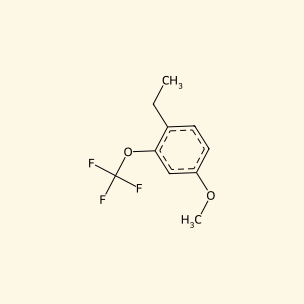 CCc1ccc(OC)cc1OC(F)(F)F